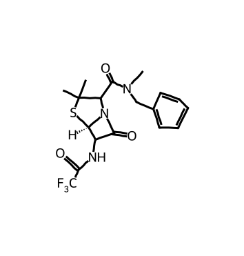 CN(Cc1ccccc1)C(=O)C1N2C(=O)C(NC(=O)C(F)(F)F)[C@H]2SC1(C)C